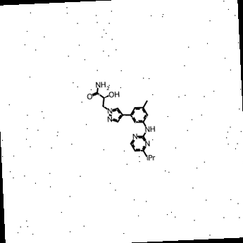 Cc1cc(Nc2nccc(C(C)C)n2)cc(-c2cnn(C[C@H](O)C(N)=O)c2)c1